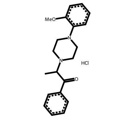 COc1ccccc1N1CCN(C(C)C(=O)c2ccccc2)CC1.Cl